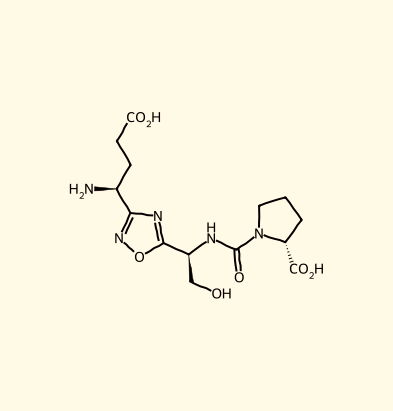 N[C@@H](CCC(=O)O)c1noc([C@H](CO)NC(=O)N2CCC[C@@H]2C(=O)O)n1